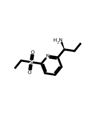 CC[C@H](N)c1cccc(S(=O)(=O)CC)n1